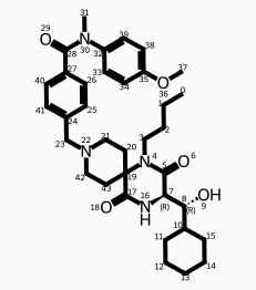 CCCCN1C(=O)[C@@H]([C@H](O)C2CCCCC2)NC(=O)C12CCN(Cc1ccc(C(=O)N(C)c3ccc(OC)cc3)cc1)CC2